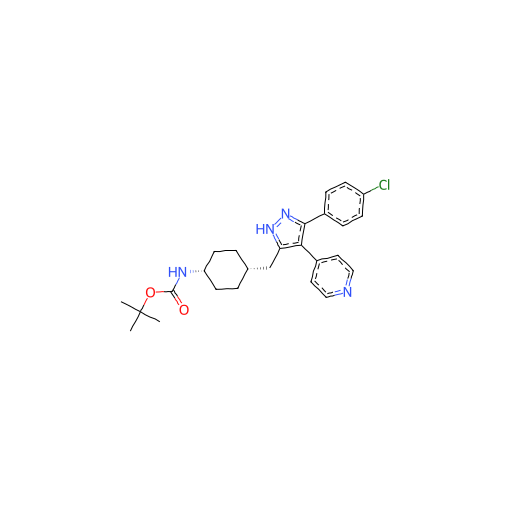 CC(C)(C)OC(=O)N[C@H]1CC[C@@H](Cc2[nH]nc(-c3ccc(Cl)cc3)c2-c2ccncc2)CC1